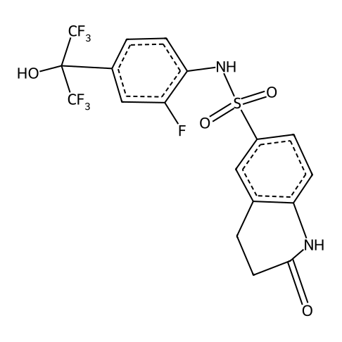 O=C1CCc2cc(S(=O)(=O)Nc3ccc(C(O)(C(F)(F)F)C(F)(F)F)cc3F)ccc2N1